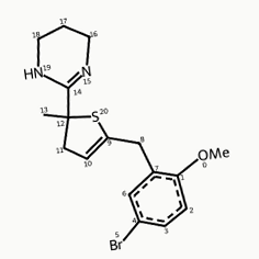 COc1ccc(Br)cc1CC1=CCC(C)(C2=NCCCN2)S1